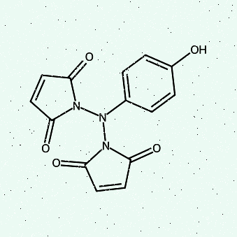 O=C1C=CC(=O)N1N(c1ccc(O)cc1)N1C(=O)C=CC1=O